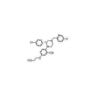 N#Cc1cc(OCCO)ccc1N1CCN(Cc2ccc(F)cn2)C[C@H]1c1ccc(Cl)cc1